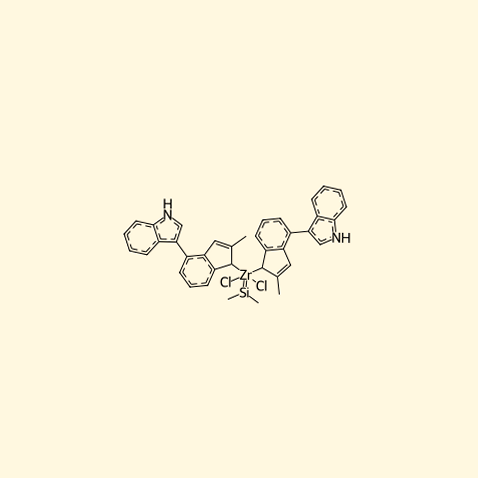 CC1=Cc2c(-c3c[nH]c4ccccc34)cccc2[CH]1[Zr]([Cl])([Cl])([CH]1C(C)=Cc2c(-c3c[nH]c4ccccc34)cccc21)=[Si](C)C